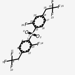 O=S(=O)(c1ccc(CC(F)(F)F)cc1F)c1ccc(CC(F)(F)F)cc1F